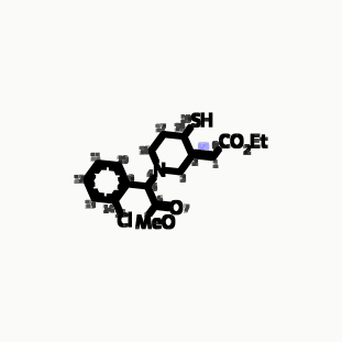 CCOC(=O)/C=C1/CN(C(C(=O)OC)c2ccccc2Cl)CCC1S